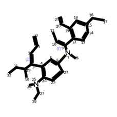 C=C/C=C(\c1cc(N(C)/C(=C/C)c2ccc(CC)cc2C=C)ccc1N(C)CC)C(C)CC